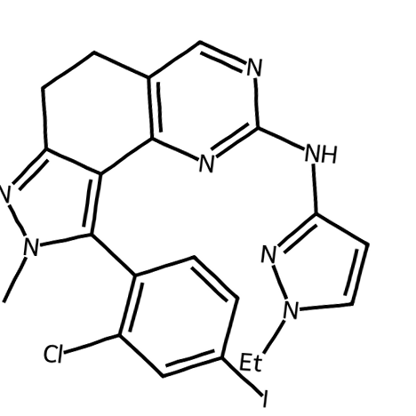 CCn1ccc(Nc2ncc3c(n2)-c2c(nn(C)c2-c2ccc(I)cc2Cl)CC3)n1